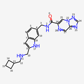 O=C(NCc1ccc2cc(CNCC3CCC3)[nH]c2c1)c1cn2ncnc2cn1